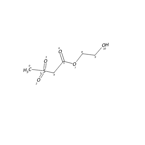 CS(=O)(=O)CC(=O)OCCO